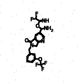 N=C(OC(N)c1cnc2c(c1)C(=O)N(Cc1cccc(OC(F)(F)F)c1)C2)C(F)F